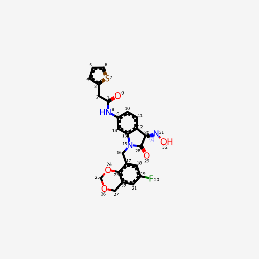 O=C(Cc1cccs1)Nc1ccc2c(c1)N(Cc1cc(F)cc3c1OCOC3)C(=O)/C2=N\O